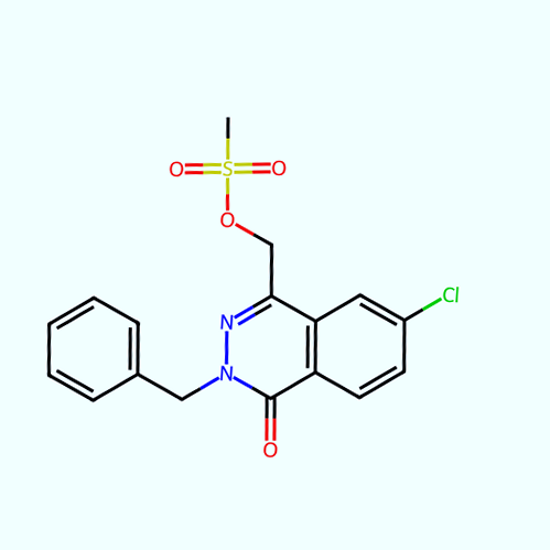 CS(=O)(=O)OCc1nn(Cc2ccccc2)c(=O)c2ccc(Cl)cc12